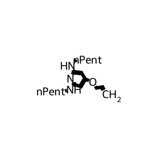 C=CCOc1cc(NCCCCC)nc(NCCCCC)c1